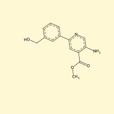 COC(=O)c1cc(-c2cccc(CO)c2)ncc1N